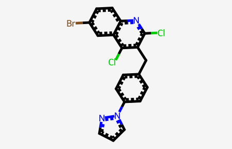 Clc1nc2ccc(Br)cc2c(Cl)c1Cc1ccc(-n2cccn2)cc1